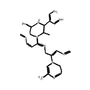 C=N/C=C\C(=N/C/C(=C/N=C)N1C=C(C(F)(F)F)N=CC1)N1CC(C(C)C)NC(/C(C=N)=C/N)C1C